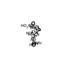 CC(=O)NC1[C@@H]2CC[C@H]1CN(c1nnc(-c3cnc(-c4ccc5cnc(N[C@@H]6CCCC[C@@H]6N(C(=O)O)C(C)(C)C)nn45)cc3N[C@H](C)C#N)s1)C2